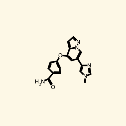 Cn1cnc(-c2cc(Oc3ccc(C(N)=O)cc3)c3ccnn3c2)c1